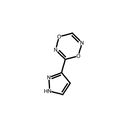 C1=NOC(c2cc[nH]n2)=NO1